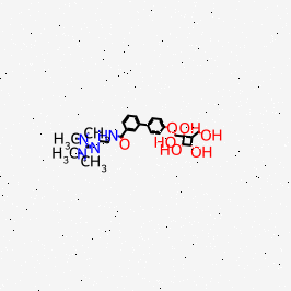 CN(C)C(=NCCNC(=O)c1cccc(-c2ccc(OC(O)C3(O)C(O)C(O)C3CO)cc2)c1)N(C)C